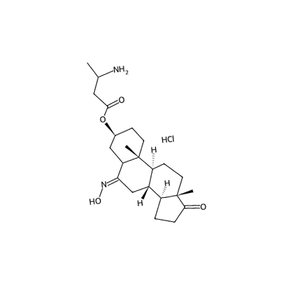 CC(N)CC(=O)O[C@H]1CC[C@@]2(C)C(C1)/C(=N/O)C[C@@H]1[C@@H]2CC[C@]2(C)C(=O)CC[C@@H]12.Cl